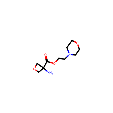 NC1(C(=O)OCCN2CCOCC2)COC1